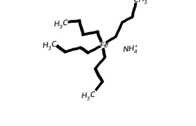 CCC[CH2][Fe]([CH2]CCC)([CH2]CCC)[CH2]CCC.[NH4+]